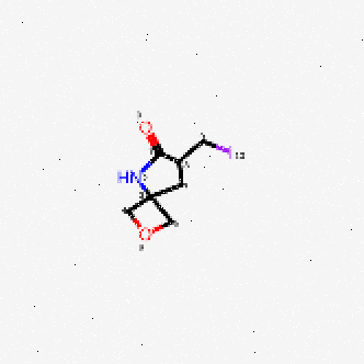 O=C1NC2(COC2)CC1CI